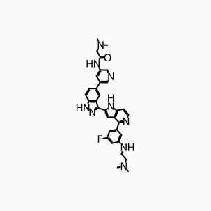 CN(C)CCNc1cc(F)cc(-c2nccc3[nH]c(-c4n[nH]c5ccc(-c6cncc(NC(=O)CN(C)C)c6)cc45)cc23)c1